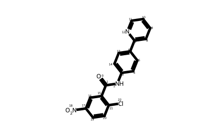 O=C(Nc1ccc(-c2ccccn2)cc1)c1cc([N+](=O)[O-])ccc1Cl